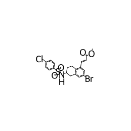 COC(=O)/C=C/c1cc(Br)cc2c1CCC(NS(=O)(=O)c1ccc(Cl)cc1)C2